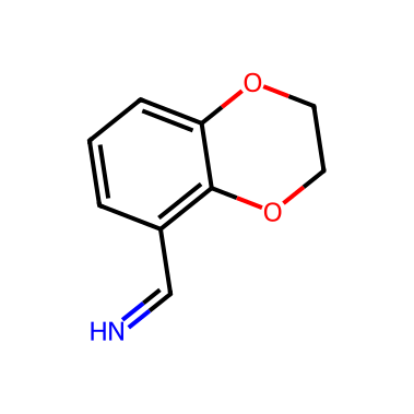 N=Cc1cccc2c1OCCO2